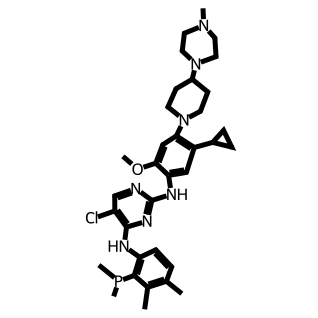 COc1cc(N2CCC(N3CCN(C)CC3)CC2)c(C2CC2)cc1Nc1ncc(Cl)c(Nc2ccc(C)c(C)c2P(C)C)n1